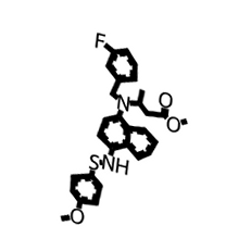 COC(=O)CC(C)N(Cc1cccc(F)c1)c1ccc(NSc2ccc(OC)cc2)c2ccccc12